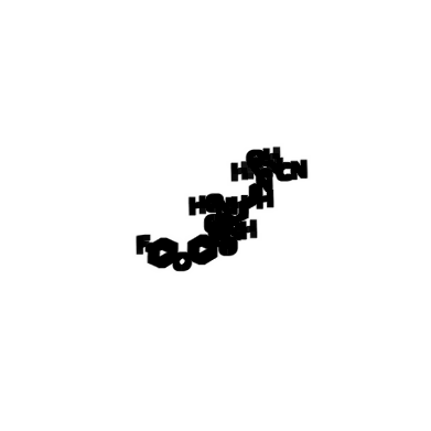 N#C/N=C(/NO)NCCCC[C@@H](NS(=O)(=O)c1ccc(Oc2ccc(F)cc2)cc1)C(=O)NO